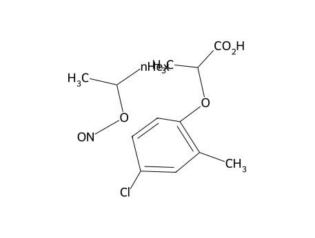 CCCCCCC(C)ON=O.Cc1cc(Cl)ccc1OC(C)C(=O)O